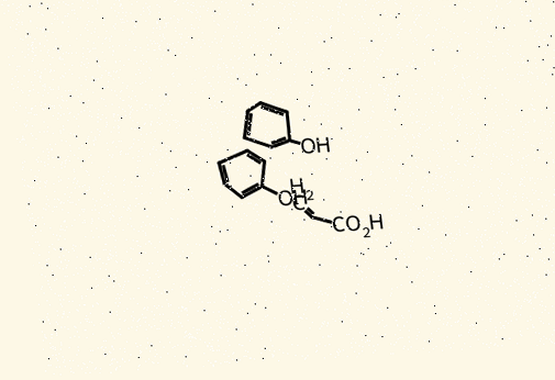 C=CC(=O)O.Oc1ccccc1.Oc1ccccc1